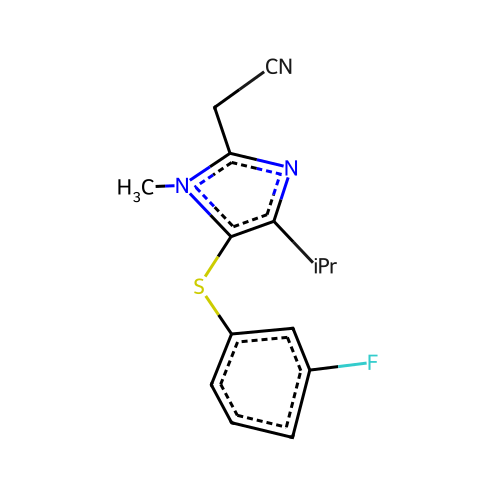 CC(C)c1nc(CC#N)n(C)c1Sc1cccc(F)c1